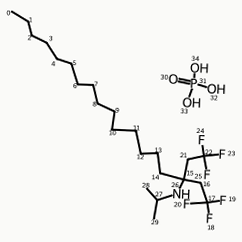 CCCCCCCCCCCCCCCC(CC(F)(F)F)(CC(F)(F)F)NC(C)C.O=P(O)(O)O